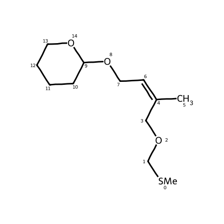 CSCOC/C(C)=C\COC1CCCCO1